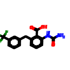 NC(=O)Nc1cccc(Cc2cccc(C(F)(F)F)c2)c1C(=O)O